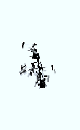 CCOc1ccc(-c2sc(C)c(-c3nc(-c4c(F)cccc4Cl)nn3C)c2C)cc1